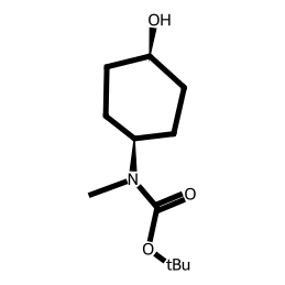 CN(C(=O)OC(C)(C)C)[C@H]1CC[C@@H](O)CC1